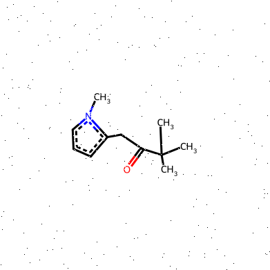 Cn1cccc1CC(=O)C(C)(C)C